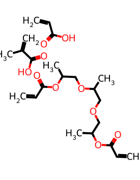 C=C(C)C(=O)O.C=CC(=O)O.C=CC(=O)OC(C)COCC(C)OCC(C)OC(=O)C=C